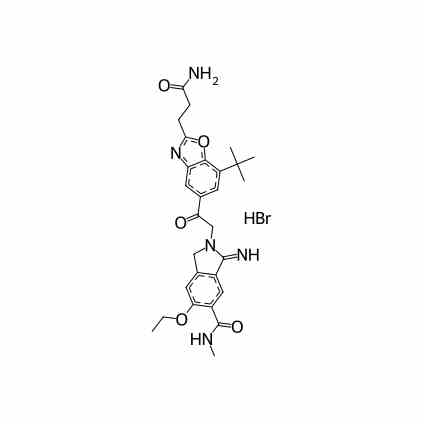 Br.CCOc1cc2c(cc1C(=O)NC)C(=N)N(CC(=O)c1cc(C(C)(C)C)c3oc(CCC(N)=O)nc3c1)C2